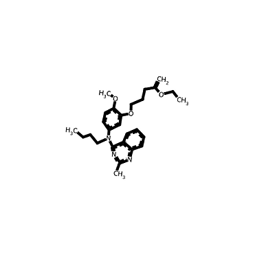 C=C(CCCOc1cc(N(CCCC)c2nc(C)nc3ccccc23)ccc1OC)OCC